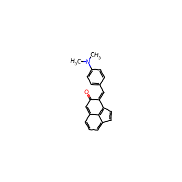 CN(C)c1ccc(C=c2c(=O)cc3cccc4ccc2=c43)cc1